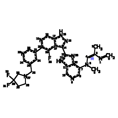 C=N/C(C)=C\N(C)c1cncc2[nH]c(-c3n[nH]c4cnc(-c5cncc(CN6CCC(F)(F)C6)c5)c(F)c34)nc12